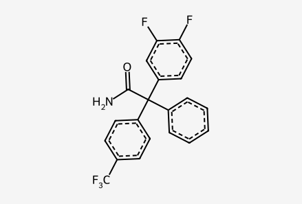 NC(=O)C(c1ccccc1)(c1ccc(C(F)(F)F)cc1)c1ccc(F)c(F)c1